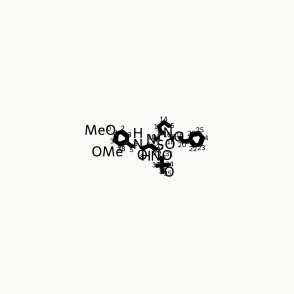 COc1ccc(CNC(=O)c2nc([C@H]3CCCN3C(=O)OCc3ccccc3)sc2NC(=O)C2(C)COC2)c(OC)c1